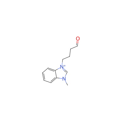 Cn1c[n+](CCCC=O)c2ccccc21